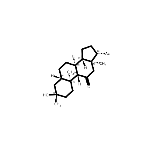 CC(=O)[C@H]1CC[C@H]2[C@@H]3CC[C@H]4C[C@@](C)(O)CC[C@]4(C)[C@H]3C(=O)C[C@]12C